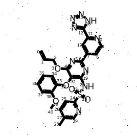 C=CCOc1nc(-c2ccnc(-c3nnn[nH]3)c2)nc(NS(=O)(=O)c2ccc(C)cn2)c1Oc1ccccc1OC